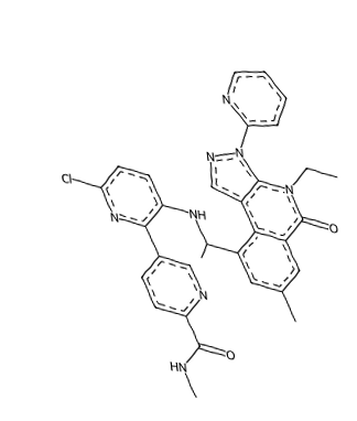 CCn1c(=O)c2cc(C)cc(C(C)Nc3ccc(Cl)nc3-c3ccc(C(=O)NC)nc3)c2c2cnn(-c3ccccn3)c21